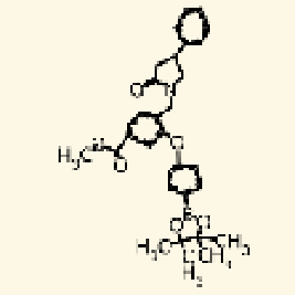 COC(=O)c1ccc(CN2CC(c3ccccc3)CC2=O)c(Oc2ccc(B3OC(C)(C)C(C)(C)O3)cc2)c1